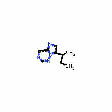 CCC(C)c1cnc2cncnn12